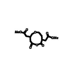 COC(=O)CC1COCCC(CC(=O)OC)C(=O)OC(=O)C1